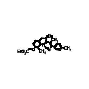 CCCCN(Cc1ccc(OCC(=O)OCC)c(C)c1)c1ncnc(-c2ccc(C)cc2)c1C